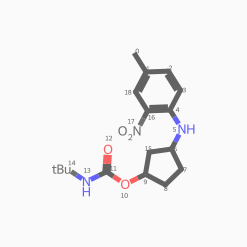 Cc1ccc(NC2CCC(OC(=O)NC(C)(C)C)C2)c([N+](=O)[O-])c1